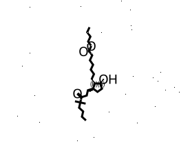 CCCCOC(=O)CCCCCC[C@@H]1C(=CCC(=O)C(C)(C)CCCC)CC[C@@H]1O